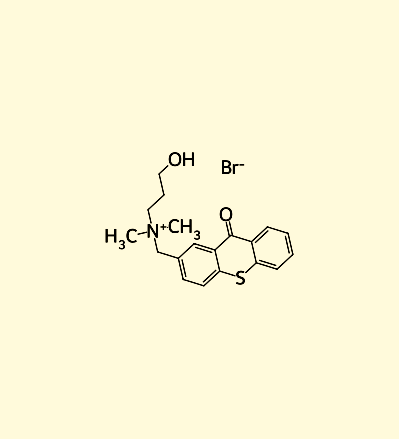 C[N+](C)(CCCO)Cc1ccc2sc3ccccc3c(=O)c2c1.[Br-]